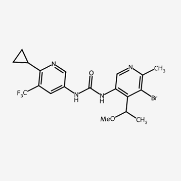 COC(C)c1c(NC(=O)Nc2cnc(C3CC3)c(C(F)(F)F)c2)cnc(C)c1Br